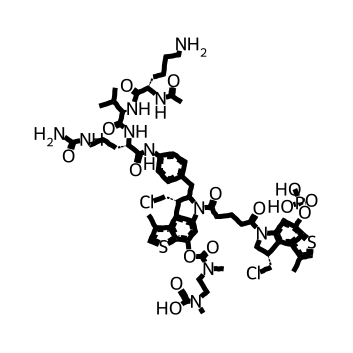 CC(=O)N[C@@H](CCCCN)C(=O)N[C@H](C(=O)N[C@@H](CCCNC(N)=O)C(=O)Nc1ccc(CC2[C@@H](CCl)c3c(cc(OC(=O)N(C)CCN(C)C(=O)O)c4scc(C)c34)N2C(=O)CCCC(=O)N2C[C@@H](CCl)c3c2cc(OP(=O)(O)O)c2scc(C)c32)cc1)C(C)C